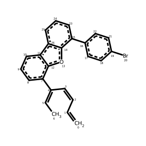 C=C/C=C\C(=C/C)c1cccc2c1oc1c(-c3ccc(Br)cc3)cccc12